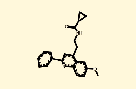 COc1ccc2nc(-c3ccccc3)cc(CCNC(=O)C3CC3)c2c1